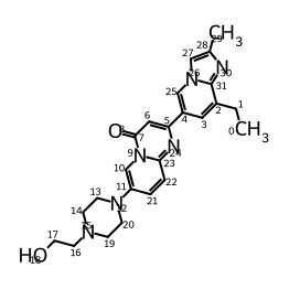 CCc1cc(-c2cc(=O)n3cc(N4CCN(CCO)CC4)ccc3n2)cn2cc(C)nc12